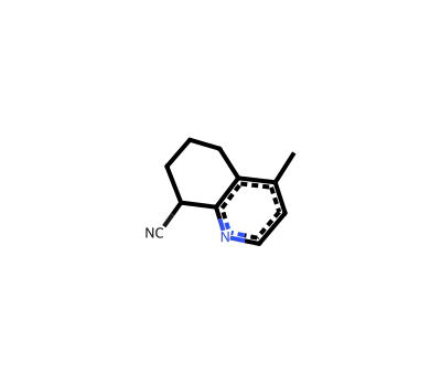 Cc1ccnc2c1CCCC2C#N